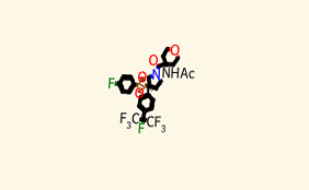 CC(=O)NC1(C(=O)N2CC[C@](c3ccc(C(F)(C(F)(F)F)C(F)(F)F)cc3)(S(=O)(=O)c3ccc(F)cc3)C2)CCOCC1